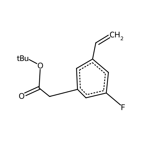 C=Cc1cc(F)cc(CC(=O)OC(C)(C)C)c1